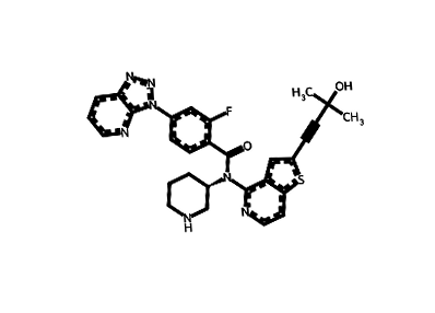 CC(C)(O)C#Cc1cc2c(N(C(=O)c3ccc(-n4nnc5cccnc54)cc3F)[C@@H]3CCCNC3)nccc2s1